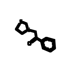 O=C(CN1CCSC1)c1ccccc1